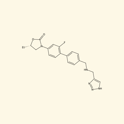 CC[C@H]1CN(c2ccc(-c3ccc(CNCc4c[nH]nn4)cc3)c(F)c2)C(=O)O1